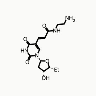 CC[C@H]1O[C@@H](n2cc(/C=C/C(=O)NCCN)c(=O)[nH]c2=O)C[C@H]1O